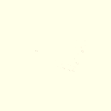 CCCCCCCC/C=C/CCCCCCCC(=O)Nc1nnc(NCCCNC2CCCCC2)s1